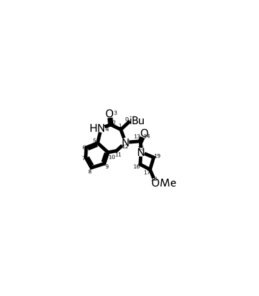 CCC(C)C1C(=O)Nc2ccccc2CN1C(=O)N1CC(OC)C1